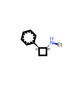 CCN[C@@H]1CC[C@H]1c1ccccc1